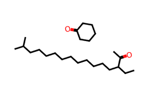 CCC(CCCCCCCCCCCC(C)C)C(C)=O.O=C1CCCCC1